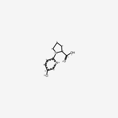 O=C(O)C1CCCN1c1ccc(Cl)cn1